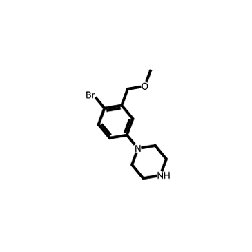 COCc1cc(N2CCNCC2)ccc1Br